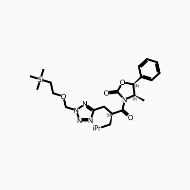 CC(C)C[C@@H](Cc1nnn(COCC[Si](C)(C)C)n1)C(=O)N1C(=O)O[C@@H](c2ccccc2)[C@H]1C